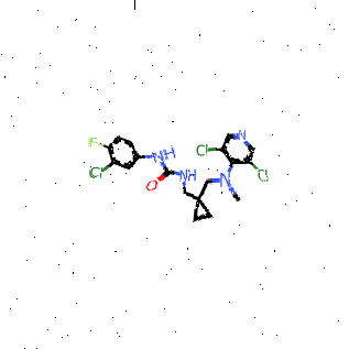 CN(CC1(CNC(=O)Nc2ccc(F)c(Cl)c2)CC1)c1c(Cl)cncc1Cl